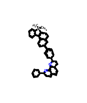 C[Si]1(C)c2ccccc2-c2c1ccc1cc(-c3ccc(-c4ccc5ccc6ccc(-c7ccccc7)nc6c5n4)cc3)ccc21